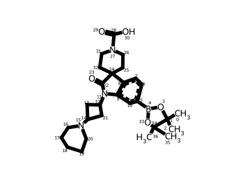 CC1(C)OB(c2ccc3c(c2)N(C2CC(N4CCCCC4)C2)C(=O)C32CCN(C(=O)O)CC2)OC1(C)C